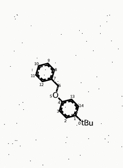 CC(C)(C)c1ccc(O[CH]c2ccccc2)cc1